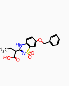 CCC(C(=O)O)C1=NS(=O)(=O)c2cc(OCc3ccccc3)ccc2N1